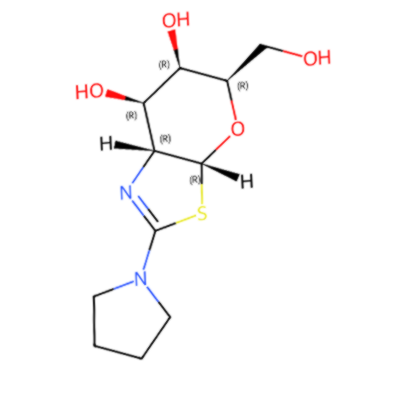 OC[C@H]1O[C@@H]2SC(N3CCCC3)=N[C@@H]2[C@@H](O)[C@H]1O